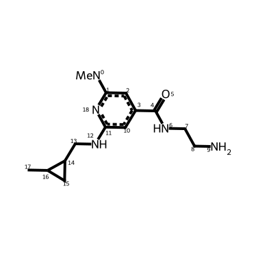 CNc1cc(C(=O)NCCN)cc(NCC2CC2C)n1